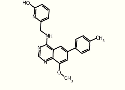 COc1cc(-c2ccc(C)cc2)cc2c(NCc3cccc(O)n3)ncnc12